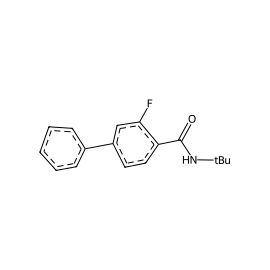 CC(C)(C)NC(=O)c1ccc(-c2ccccc2)cc1F